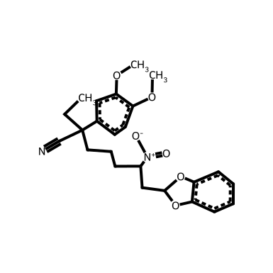 CCC(C#N)(CCCC(CC1Oc2ccccc2O1)[N+](=O)[O-])c1ccc(OC)c(OC)c1